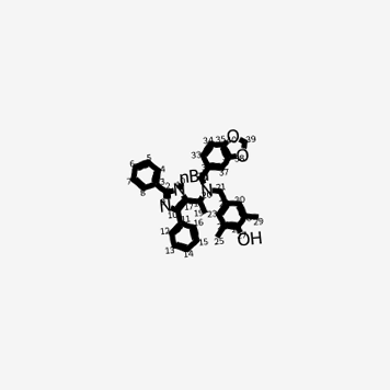 CCCCn1c(-c2ccccc2)nc(-c2ccccc2)c1C(C)N(Cc1cc(C)c(O)c(C)c1)Cc1ccc2c(c1)OCO2